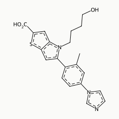 Cc1cc(-n2ccnc2)ccc1-c1cc2sc(C(=O)O)cc2n1CCCCO